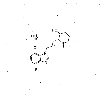 Cl.Cl.O[C@H]1CCCN[C@@H]1CCCn1cnc2c(F)ccc(Cl)c21